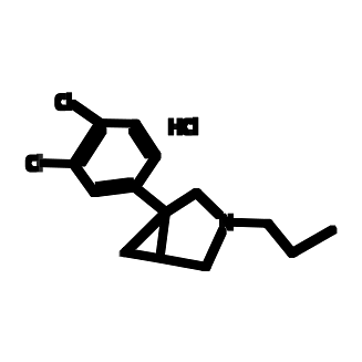 CCCN1CC2CC2(c2ccc(Cl)c(Cl)c2)C1.Cl